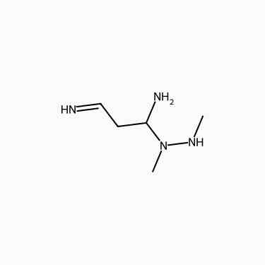 CNN(C)C(N)CC=N